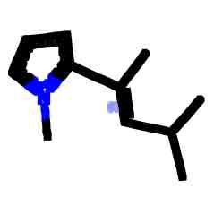 C/C(=C\C(C)C)c1cccn1C